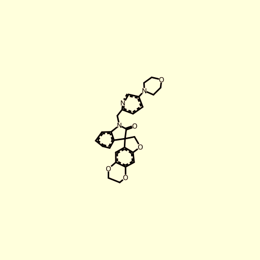 O=C1N(Cc2ccc(N3CCOCC3)cn2)c2ccccc2C12COc1cc3c(cc12)OCCO3